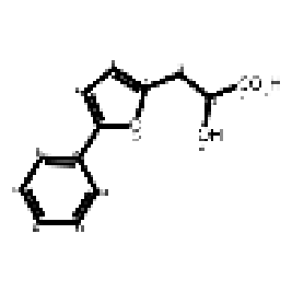 O=C(O)C(O)Cc1ccc(-c2ccccc2)o1